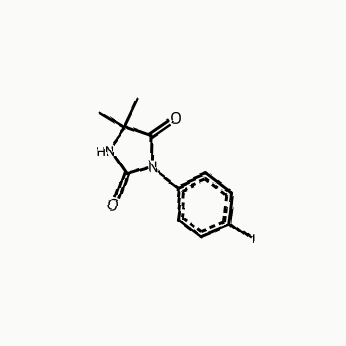 CC1(C)NC(=O)N(c2ccc(I)cc2)C1=O